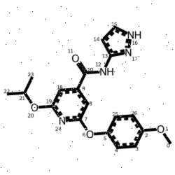 COc1ccc(Oc2cc(C(=O)Nc3cc[nH]n3)cc(OC(C)C)n2)cc1